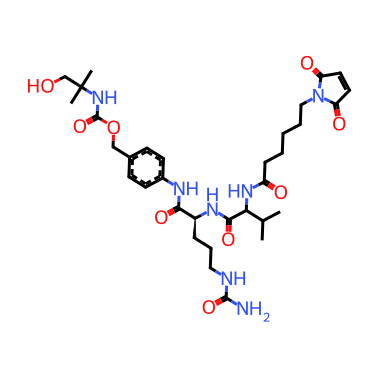 CC(C)C(NC(=O)CCCCCN1C(=O)C=CC1=O)C(=O)N[C@@H](CCCNC(N)=O)C(=O)Nc1ccc(COC(=O)NC(C)(C)CO)cc1